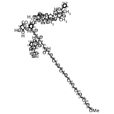 CC[C@H](C)[C@@H]([C@@H](CC(=O)N1CCC[C@H]1[C@H](OC)[C@@H](C)C(=O)N[C@H](C)[C@@H](O)c1ccccc1)OC)N(C)C(=O)[C@@H](NC(=O)[C@H](C(C)C)N(C)C(=O)OCc1ccc(O[C@@H]2OC(C(=O)O)=C[C@H](O)[C@H]2O)c(NC(=O)CCNC(=O)[C@H](CCCCNC(=O)CCOCCOCCOCCOCCOCCOCCOCCOCCOCCOCCOCCOC)NC(=O)C(CNC(=O)OC(C)(C)C)N2C(=O)C=CC2=O)c1)C(C)C